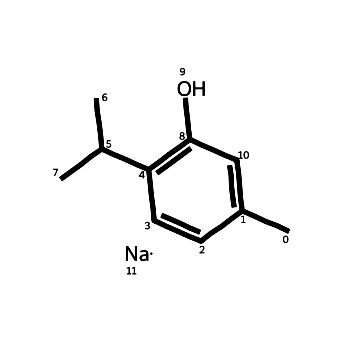 Cc1ccc(C(C)C)c(O)c1.[Na]